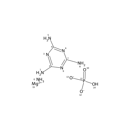 N.Nc1nc(N)nc(N)n1.O=P([O-])([O-])O.[Mg+2]